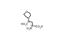 N[C@@H](CN(C(=O)O)N1CCOCC1)C(=O)O